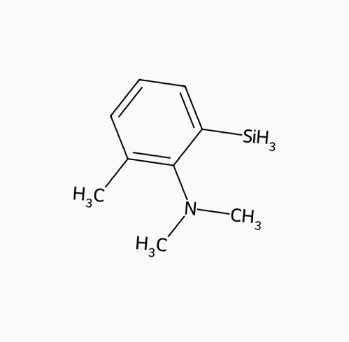 Cc1cccc([SiH3])c1N(C)C